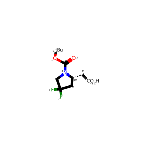 CC(C)(C)OC(=O)N1CC(F)(F)C[C@H]1CC(=O)O